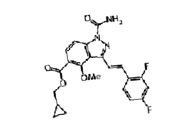 COc1c(C(=O)OCC2CC2)ccc2c1c(C=Cc1ccc(F)cc1F)nn2C(N)=O